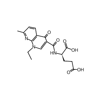 CCn1cc(C(=O)N[C@H](CCC(=O)O)C(=O)O)c(=O)c2ccc(C)nc21